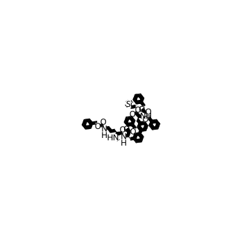 CN[C@@H](CCCNC(=O)OCc1ccccc1)C(=O)N[C@@H](Cc1cccc(-c2ccc(OCc3ccccc3)c(C[C@H](NC(=O)OCc3ccccc3)C(=O)OCC[Si](C)(C)C)c2)c1)C(=O)OCc1ccccc1